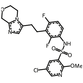 COc1ncc(Cl)cc1S(=O)(=O)Nc1ccc(F)c(CCc2cnc3n2CCOC3)c1F